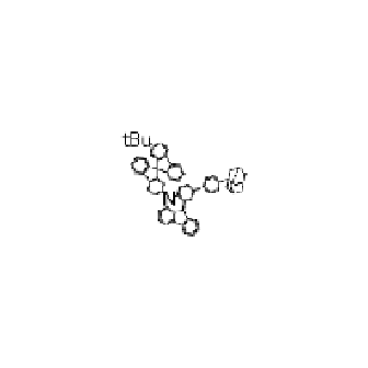 CC(C)(C)c1ccc2c(c1)C1(c3ccccc3-c3ccc(N4c5ccc(-c6ccc(C78CC9CC(CC(C9)C7)C8)cc6)cc5C5(C)c6ccccc6-c6cccc4c65)cc31)c1ccccc1-2